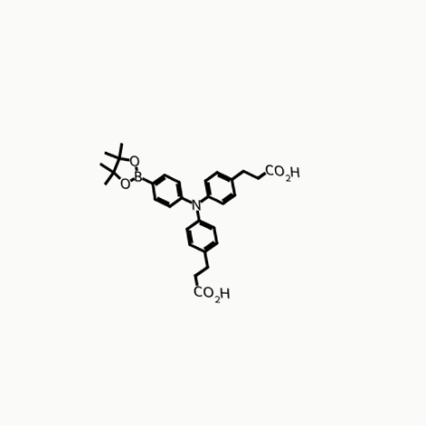 CC1(C)OB(c2ccc(N(c3ccc(CCC(=O)O)cc3)c3ccc(CCC(=O)O)cc3)cc2)OC1(C)C